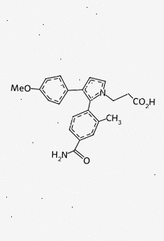 COc1ccc(-c2ccn(CCC(=O)O)c2-c2ccc(C(N)=O)cc2C)cc1